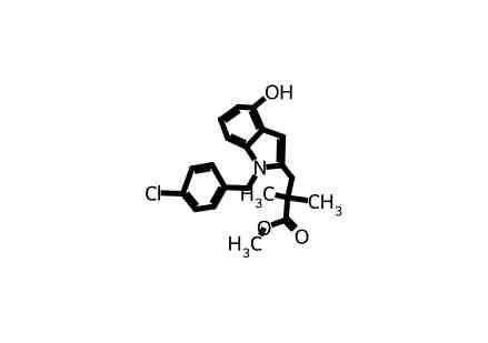 COC(=O)C(C)(C)Cc1cc2c(O)cccc2n1Cc1ccc(Cl)cc1